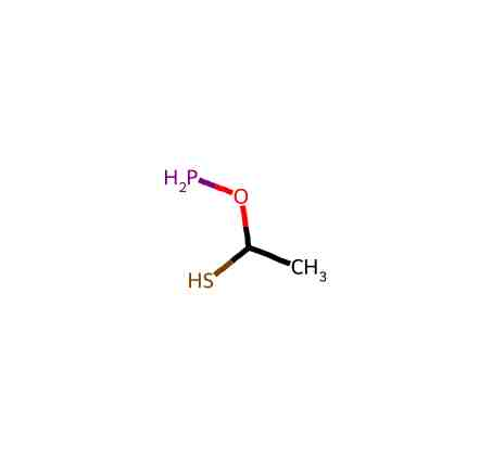 CC(S)OP